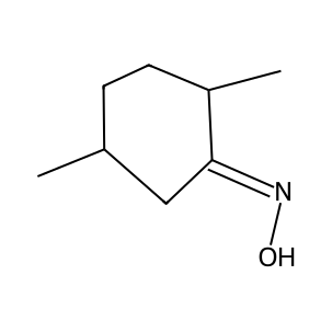 CC1CCC(C)C(=NO)C1